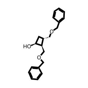 O[C@H]1C[C@H](COCc2ccccc2)[C@H]1COCc1ccccc1